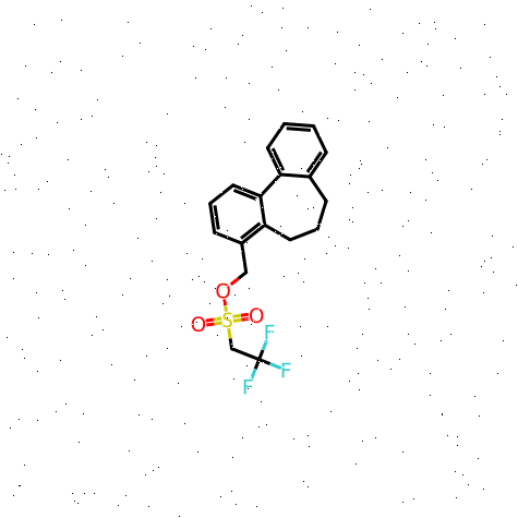 O=S(=O)(CC(F)(F)F)OCc1cccc2c1CCCc1ccccc1-2